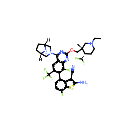 CCN1CC[C@H](C(F)F)[C@](C)(COc2nc(N3C[C@H]4CC[C@@H](C3)N4)c3cc(C(F)(F)F)c(-c4ccc(F)c5sc(N)c(C#N)c45)c(F)c3n2)C1